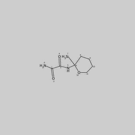 NC(=O)C(=O)NC1([SiH3])CCCCO1